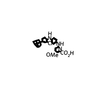 COc1ccc(Nc2ccc(Nc3ccc(C45CC6CC7CC(C4)C75C6)cc3Cl)cc2)nc1C(=O)O